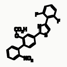 O=C(O)Oc1cc(-c2nc(-c3c(F)cccc3F)cs2)ccc1-c1ccccc1[N+](=O)[O-]